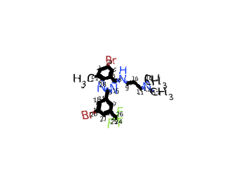 Cc1cc(Br)cc2c(NCCCN(C)C)nc(-c3cc(Br)cc(C(F)(F)F)c3)nc12